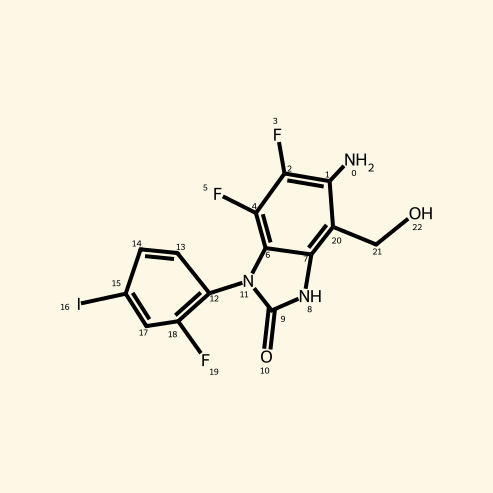 Nc1c(F)c(F)c2c([nH]c(=O)n2-c2ccc(I)cc2F)c1CO